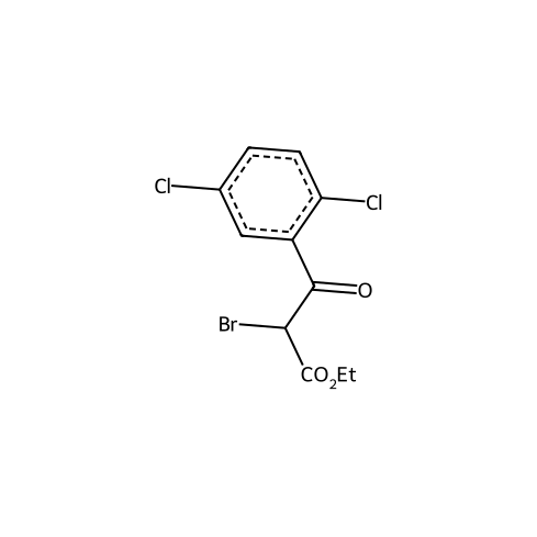 CCOC(=O)C(Br)C(=O)c1cc(Cl)ccc1Cl